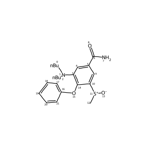 CCCCN(CCCC)c1cc(C(N)=O)cc([S+](C)[O-])c1Oc1ccccc1